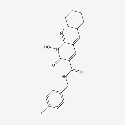 C/N=C1\C(=C/C2CCCCC2)C=C(C(=O)NCc2ccc(F)cc2)C(=O)N1O